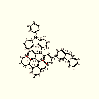 c1ccc(-n2c3ccccc3c3c(N(c4cccc(-c5ccc6oc7ccccc7c6c5)c4)c4ccccc4-c4cccc5cccc(C6CCCCC6)c45)cccc32)cc1